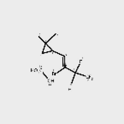 CC1(C)CC1C=C(Br)C(F)(F)C(F)(F)F.O=C(O)O